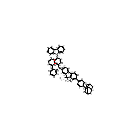 CC1(C)c2cc(-c3ccc(C45CC6CC(CC(C6)C4)C5)cc3)ccc2-c2ccc(N(c3ccc(-n4c5ccccc5c5ccccc54)cc3)c3ccccc3-c3ccccc3)cc21